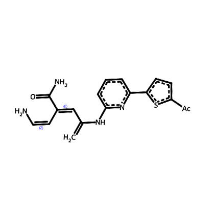 C=C(/C=C(\C=C/N)C(N)=O)Nc1cccc(-c2ccc(C(C)=O)s2)n1